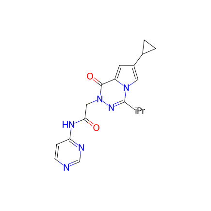 CC(C)c1nn(CC(=O)Nc2ccncn2)c(=O)c2cc(C3CC3)cn12